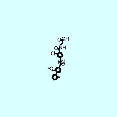 COCc1cc(-c2nc(-c3ccc(C(=O)NCCC(=O)O)c(Cl)c3)no2)ccc1-c1ccccc1C